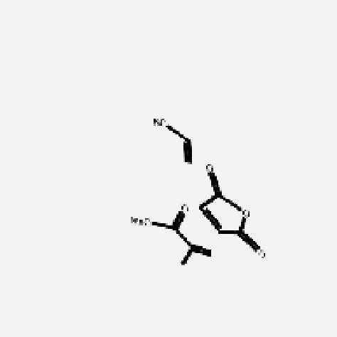 C=C(C)C(=O)OC.C=CC#N.O=C1C=CC(=O)O1